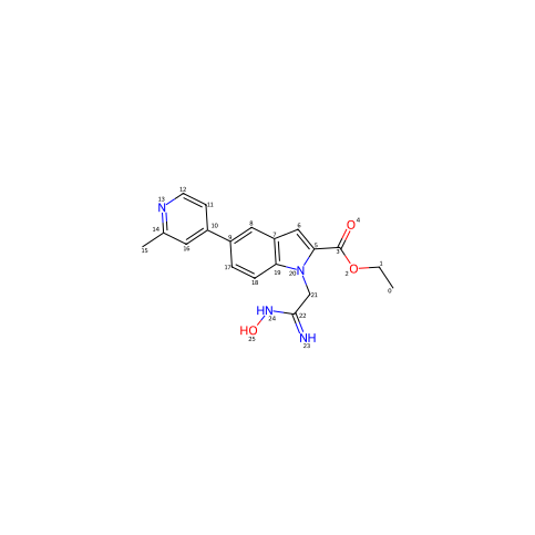 CCOC(=O)c1cc2cc(-c3ccnc(C)c3)ccc2n1CC(=N)NO